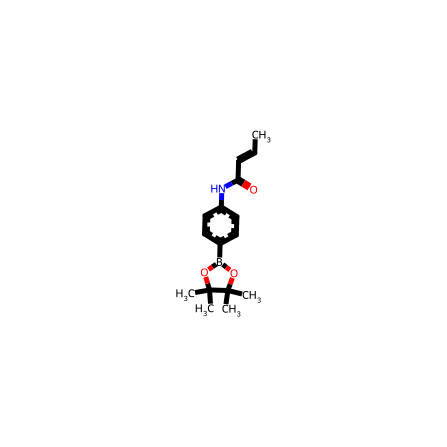 C/C=C/C(=O)Nc1ccc(B2OC(C)(C)C(C)(C)O2)cc1